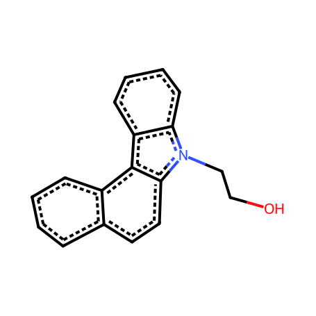 OCCn1c2ccccc2c2c3ccccc3ccc21